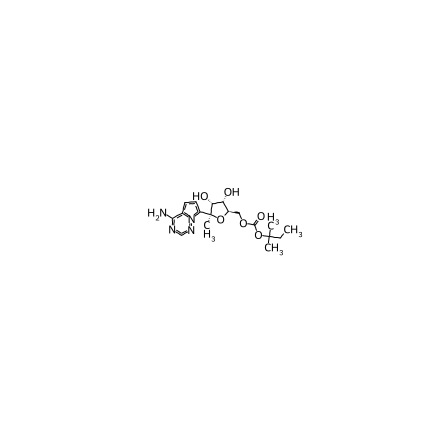 CCC(C)(C)OC(=O)OC[C@H]1O[C@@](C)(c2ccc3c(N)ncnn23)[C@H](O)[C@@H]1O